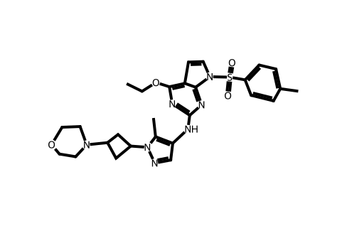 CCOc1nc(Nc2cnn(C3CC(N4CCOCC4)C3)c2C)nc2c1ccn2S(=O)(=O)c1ccc(C)cc1